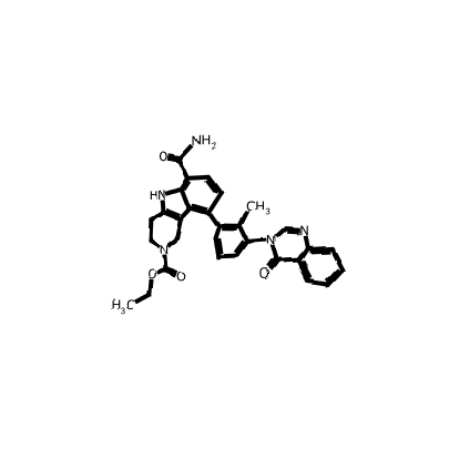 CCOC(=O)N1CCc2[nH]c3c(C(N)=O)ccc(-c4cccc(-n5cnc6ccccc6c5=O)c4C)c3c2C1